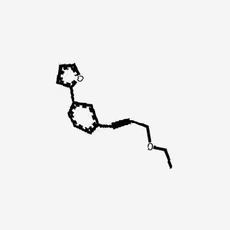 CCOCC#Cc1cccc(-c2ccco2)c1